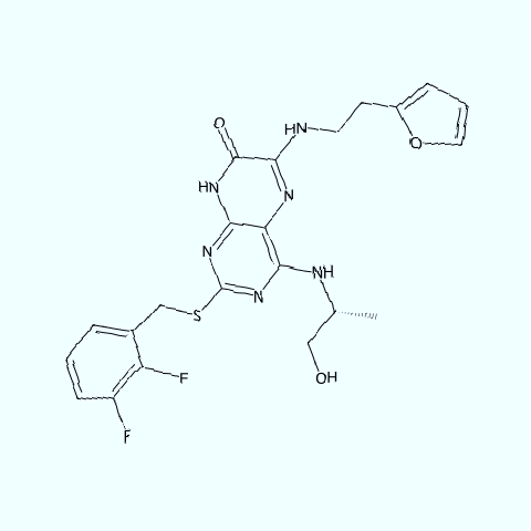 C[C@H](CO)Nc1nc(SCc2cccc(F)c2F)nc2[nH]c(=O)c(NCCc3ccco3)nc12